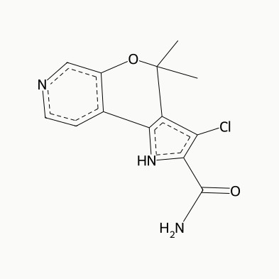 CC1(C)Oc2cnccc2-c2[nH]c(C(N)=O)c(Cl)c21